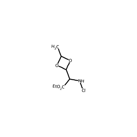 CCOC(=O)C(NCl)C1OC(C)O1